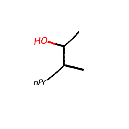 [CH2]CCC(C)C(C)O